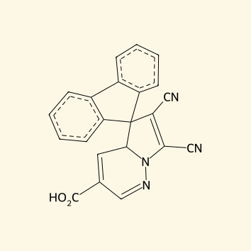 N#CC1=C(C#N)C2(c3ccccc3-c3ccccc32)C2C=C(C(=O)O)C=NN12